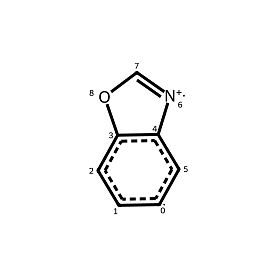 [c]1ccc2c(c1)[N+]=CO2